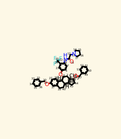 C[C@]12C[C@H](Oc3ccc(NC(=O)CN4CCCC4)c(C(F)(F)F)c3)[C@@H]3c4ccc(OCc5ccccc5)cc4CC[C@H]3[C@@H]1CC[C@@H]2OCc1ccccc1